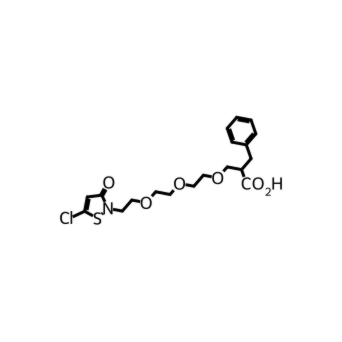 O=C(O)C(COCCOCCOCCn1sc(Cl)cc1=O)Cc1ccccc1